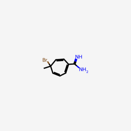 CC1(Br)C=CC=C(C(=N)N)C=C1